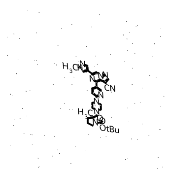 Cn1cc(-c2cn3ncc(C#N)c3c(-c3ccc(N4CCN(C(=O)[C@@]5(C)CCCN5C(=O)OC(C)(C)C)CC4)nc3)n2)cn1